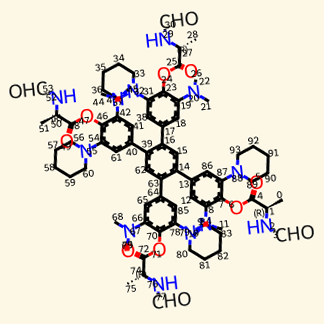 C[C@@H](NC=O)C(=O)Oc1c(N(C)C)cc(-c2cc(-c3cc(N(C)C)c(OC(=O)[C@@H](C)NC=O)c(N4CCCCC4)c3)c(-c3cc(N(C)C)c(OC(=O)[C@@H](C)NC=O)c(N4CCCCC4)c3)cc2-c2cc(N(C)C)c(OC(=O)[C@@H](C)NC=O)c(N3CCCCC3)c2)cc1N1CCCCC1